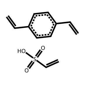 C=CS(=O)(=O)O.C=Cc1ccc(C=C)cc1